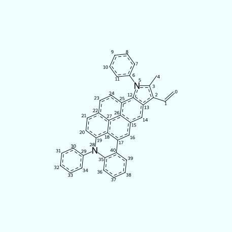 C=Cc1c(C)n(-c2ccccc2)c2c1cc1cc3c4c(ccc5ccc2c1c54)N(c1ccccc1)c1ccccc1-3